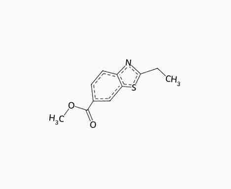 CCc1nc2ccc(C(=O)OC)cc2s1